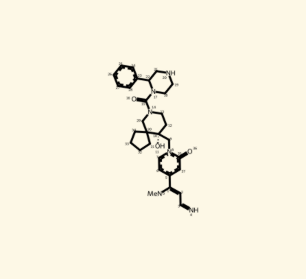 CN/C(=C\C=N)c1ccn(C[C@]2(O)CCN(C(=O)N3CCNCC3c3ccccc3)CC23CCCC3)c(=O)c1